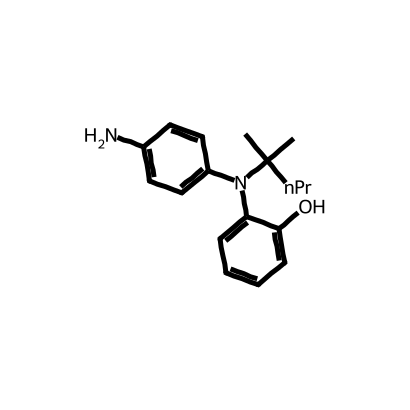 CCCC(C)(C)N(c1ccc(N)cc1)c1ccccc1O